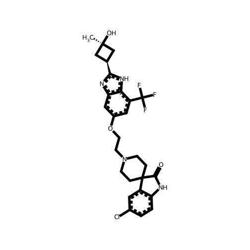 C[C@]1(O)C[C@@H](c2nc3cc(OCCN4CCC5(CC4)C(=O)Nc4ccc(Cl)cc45)cc(C(F)(F)F)c3[nH]2)C1